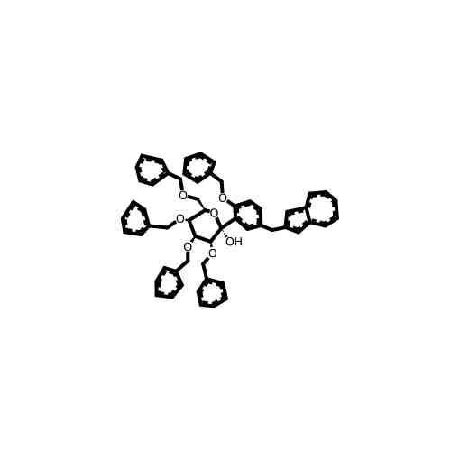 O[C@@]1(c2cc(Cc3cc4cccccc-4c3)ccc2OCc2ccccc2)O[C@H](COCc2ccccc2)[C@@H](OCc2ccccc2)[C@H](OCc2ccccc2)[C@H]1OCc1ccccc1